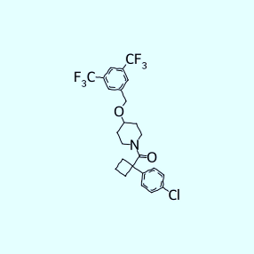 O=C(N1CCC(OCc2cc(C(F)(F)F)cc(C(F)(F)F)c2)CC1)C1(c2ccc(Cl)cc2)CCC1